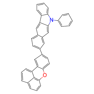 c1ccc(-n2c3ccccc3c3cc4ccc(-c5ccc6c(c5)-c5cccc7cccc(c57)O6)cc4cc32)cc1